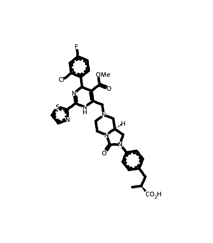 COC(=O)C1=C(CN2CCN3C(=O)N(c4ccc(C[C@H](C)C(=O)O)cc4)C[C@@H]3C2)NC(c2nccs2)=NC1c1ccc(F)cc1Cl